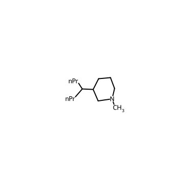 CCCC(CCC)C1CCCN(C)C1